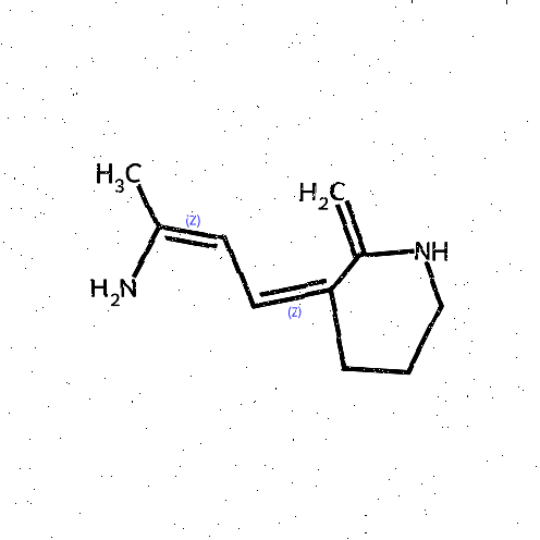 C=C1NCCC/C1=C/C=C(/C)N